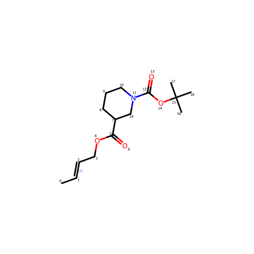 C/C=C/COC(=O)C1CCCN(C(=O)OC(C)(C)C)C1